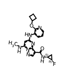 CNc1cc(Nc2cccnc2OC2CCC2)nc2c(C(=O)N[C@H]3C[C@H]3F)cnn12